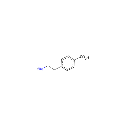 [NH]CCc1ccc(C(=O)O)cc1